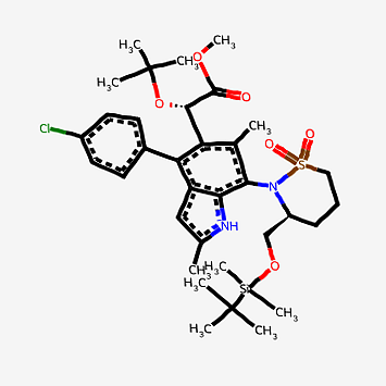 COC(=O)[C@@H](OC(C)(C)C)c1c(C)c(N2[C@H](CO[Si](C)(C)C(C)(C)C)CCCS2(=O)=O)c2[nH]c(C)cc2c1-c1ccc(Cl)cc1